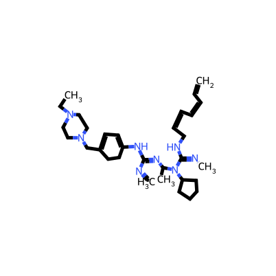 C=C/C=C\C=C/CN/C(=N/C)N(C1CCCC1)C(C)/N=C(\N=C/C)NC1=CC=C(CN2CCN(CC)CC2)CC1